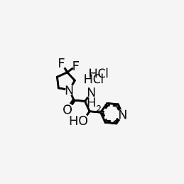 Cl.Cl.NC(C(=O)N1CCC(F)(F)C1)C(O)c1ccncc1